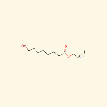 C/C=C\COC(=O)CCCCCCCBr